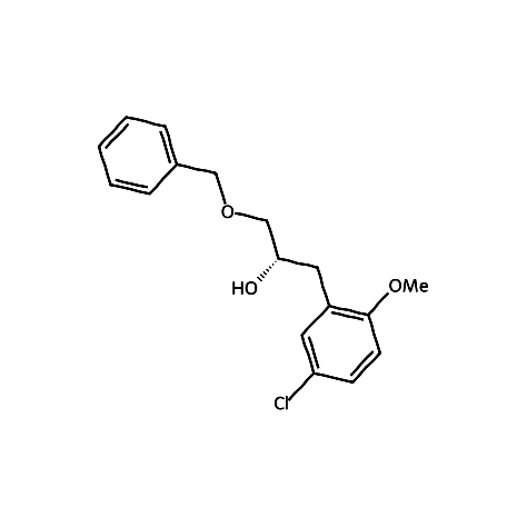 COc1ccc(Cl)cc1C[C@H](O)COCc1ccccc1